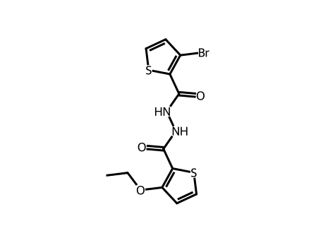 CCOc1ccsc1C(=O)NNC(=O)c1sccc1Br